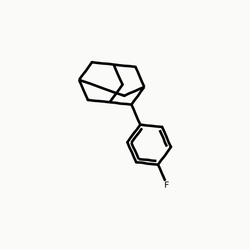 FC1=C=C=C(C2C3CC4CC(C3)CC2C4)C=C1